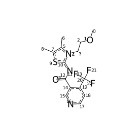 COCCn1c(C)c(C)s/c1=N\C(=O)c1cnccc1C(F)(F)F